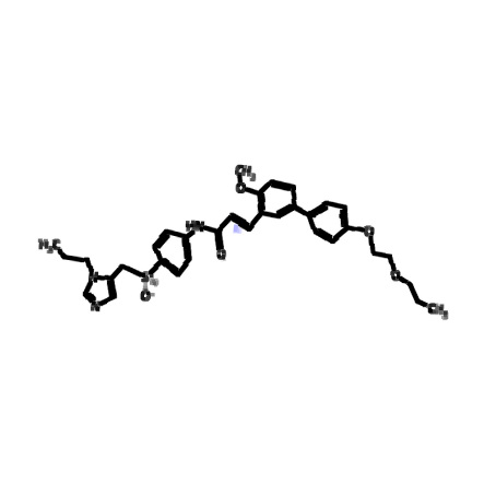 CCCOCCOc1ccc(-c2ccc(OC)c(/C=C/C(=O)Nc3ccc([S@+]([O-])Cc4cncn4CCC)cc3)c2)cc1